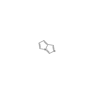 C1=C[N+]2=CN=CC2=C1